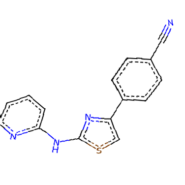 N#Cc1ccc(-c2csc(Nc3ccccn3)n2)cc1